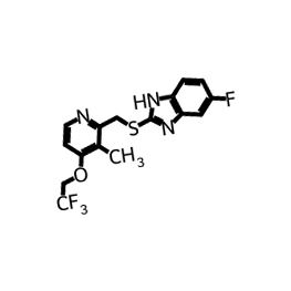 Cc1c(OCC(F)(F)F)ccnc1CSc1nc2cc(F)ccc2[nH]1